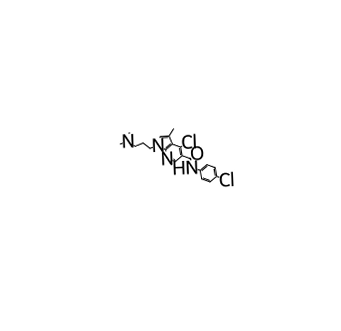 Cc1cn(CCCN(C)C)c2ncc(C(=O)Nc3ccc(Cl)cc3)c(Cl)c12